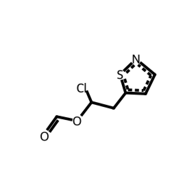 O=COC(Cl)Cc1ccns1